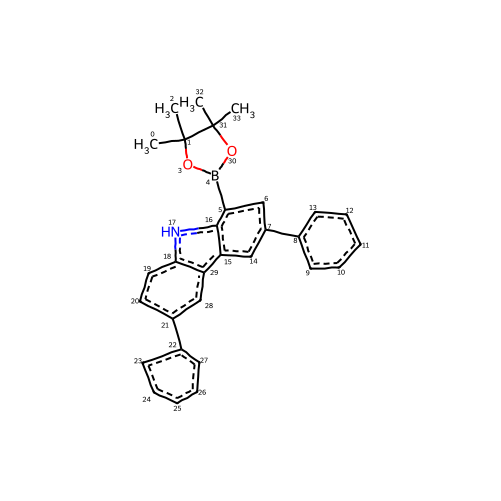 CC1(C)OB(c2cc(-c3ccccc3)cc3c2[nH]c2ccc(-c4ccccc4)cc23)OC1(C)C